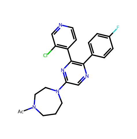 CC(=O)N1CCCN(c2cnc(-c3ccc(F)cc3)c(-c3ccncc3Cl)n2)CC1